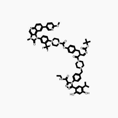 CCNC(=O)c1nnc(-c2cc(C(C)C)c(O)cc2O)n1-c1ccc(CN2CCN(C(=O)C(/C=N\C(=O)OC(C)(C)C)Cc3ccc(OC(=O)N4CCN(c5ccc(-n6c(=O)n(C)c7cnc8ccc(-c9ccc(OC)nc9)cc8c76)cc5C(F)(F)F)CC4)cc3)CC2)cc1